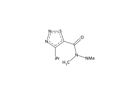 CNN(C)C(=O)c1snnc1C(C)C